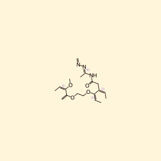 C=N/N=C(\C)NC(=O)CC(=C/C)/C(=C\C)OCCOC(=C)/C(=C\C)OC